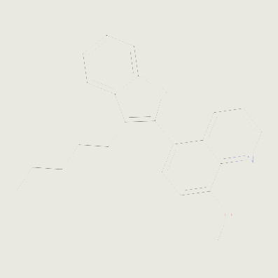 CCCCCc1c(-c2ccc(OC)c3ncccc23)oc2ccccc12